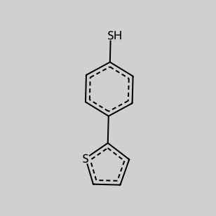 Sc1ccc(-c2cccs2)cc1